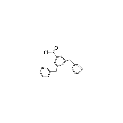 O=C(Cl)c1cc(Cc2ccccc2)cc(Cc2ccccc2)c1